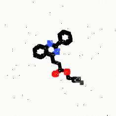 CCOC(=O)CCc1nc(-c2ccccc2)nc2ccccc12